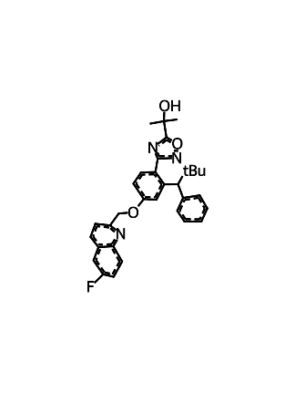 CC(C)(O)c1nc(-c2ccc(OCc3ccc4cc(F)ccc4n3)cc2C(c2ccccc2)C(C)(C)C)no1